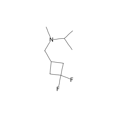 CC(C)N(C)CC1CC(F)(F)C1